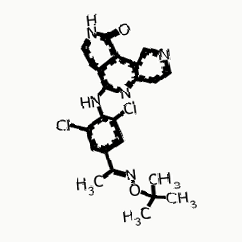 CC(=NOC(C)(C)C)c1cc(Cl)c(Nc2nc3ccncc3c3c(=O)[nH]ccc23)c(Cl)c1